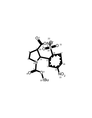 COC(=O)C1CCN(C(=O)OC(C)(C)C)C1c1cc([N+](=O)[O-])ccc1S(=O)(=O)C(C)C